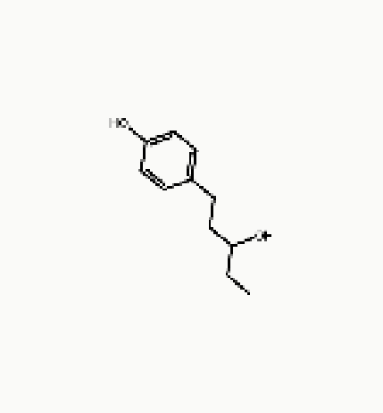 CCC(O)CCc1ccc(O)cc1